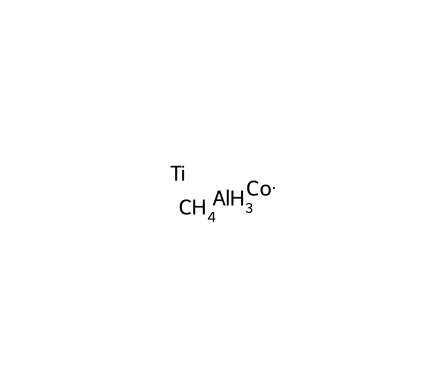 C.[AlH3].[Co].[Ti]